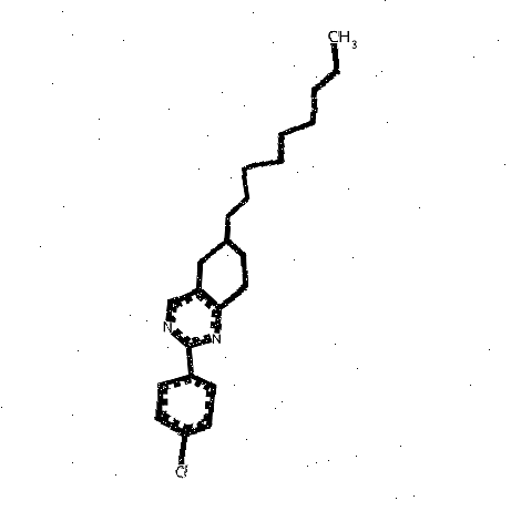 CCCCCCCCCC1CCc2nc(-c3ccc(Cl)cc3)ncc2C1